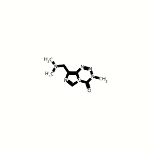 CN(C)Cc1ncn2c(=O)n(C)nnc12